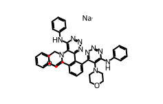 C(=Cc1cccc(-c2nnnc(Nc3ccccc3)c2N2CCOCC2)c1-c1nnnc(Nc2ccccc2)c1N1CCOCC1)c1ccccc1.[Na]